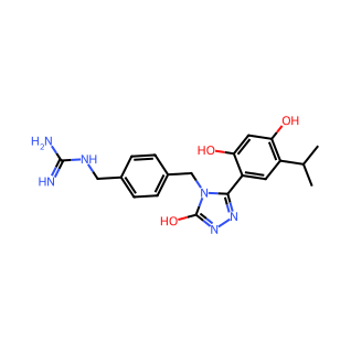 CC(C)c1cc(-c2nnc(O)n2Cc2ccc(CNC(=N)N)cc2)c(O)cc1O